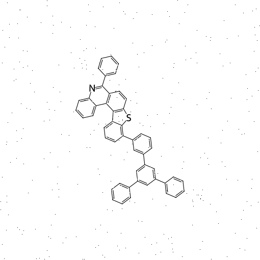 c1ccc(-c2cc(-c3ccccc3)cc(-c3cccc(-c4cccc5c4sc4ccc6c(-c7ccccc7)nc7ccccc7c6c45)c3)c2)cc1